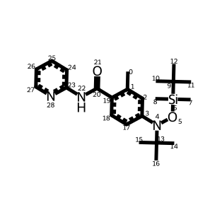 Cc1cc(N(O[Si](C)(C)C(C)(C)C)C(C)(C)C)ccc1C(=O)Nc1ccccn1